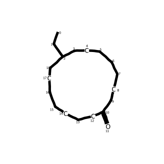 CCC1CCCCCCCC(=O)CCCCCCC1